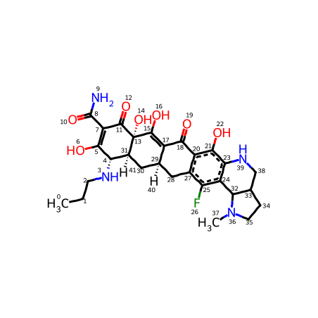 CCCN[C@@H]1C(O)=C(C(N)=O)C(=O)[C@@]2(O)C(O)=C3C(=O)c4c(O)c5c(c(F)c4C[C@H]3C[C@@H]12)C1C(CCN1C)CN5